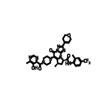 Cc1cc(C(F)(F)F)ccc1NC(=O)[C@H]1C[C@@H](C)c2c(N3CCN(C(=O)c4ncnc(C)c4O)CC3)c(=O)n3nc(C4=CCOCC4)nc3n21